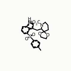 CCOC(=O)N1CCCC2(OCCO2)C1Cc1c[nH]c2cccc(S(=O)(=O)c3ccc(C)cc3)c12